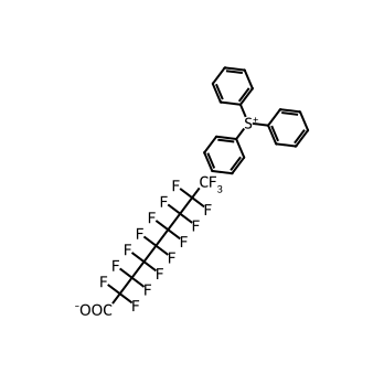 O=C([O-])C(F)(F)C(F)(F)C(F)(F)C(F)(F)C(F)(F)C(F)(F)C(F)(F)C(F)(F)F.c1ccc([S+](c2ccccc2)c2ccccc2)cc1